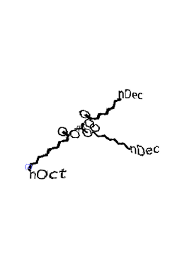 CCCCCCCC/C=C\CCCCCCCC(=O)OC[C@@H](COC(=O)CCCCCCCCCCCCCCCCC)OC(=O)CCCCCCCCCCCCCCCCC